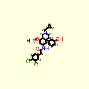 COC1CC(NC(=O)Cc2ccc(Cl)c(Cl)c2)CC2(c3cccc(O)c3)CCN(CC3CC3)CC12